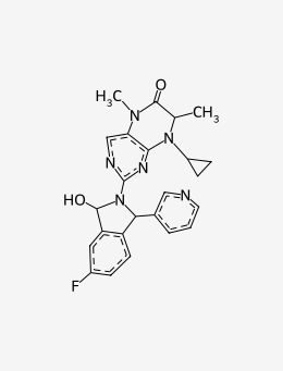 CC1C(=O)N(C)c2cnc(N3C(O)c4cc(F)ccc4C3c3cccnc3)nc2N1C1CC1